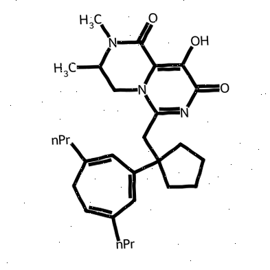 CCCC1=CCC(CCC)=CC(C2(Cc3nc(=O)c(O)c4n3CC(C)N(C)C4=O)CCCC2)=C1